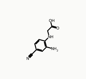 N#Cc1ccc(NCC(=O)O)c(N)c1